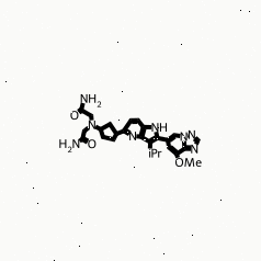 COc1cc(-c2[nH]c3ccc(C4CCC(N(CC(N)=O)CC(N)=O)C4)nc3c2C(C)C)cn2ncnc12